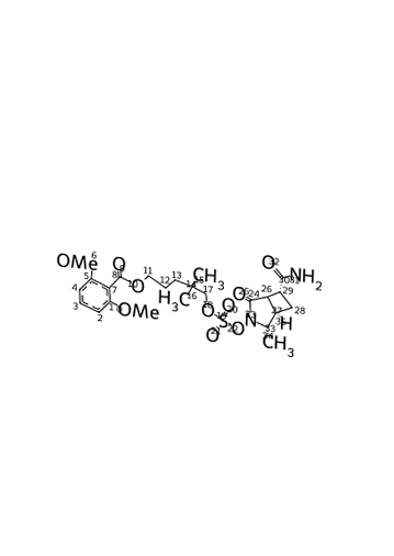 COc1cccc(OC)c1C(=O)OCCCC(C)(C)COS(=O)(=O)ON1C(=O)C2[C@@H](C[C@H]2C(N)=O)[C@@H]1C